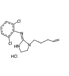 C=CCCCN1CCN/C1=N\c1c(Cl)cccc1Cl.Cl